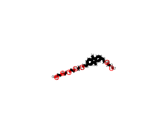 COCCOCCOCCOCCOCCc1ccc2c(C)c3ccc(CCOCCOC)cc3c(C)c2c1